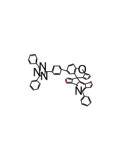 c1ccc(-c2nc(-c3ccccc3)nc(-c3ccc(-c4ccc5c(c4)C4(c6ccccc6O5)c5ccccc5-c5nc(-c6ccccc6)c6ccccc6c54)cc3)n2)cc1